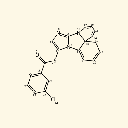 O=C(Sc1cnc2n1C1=CC=CCC13C=CC=CN23)c1cccc(Cl)c1